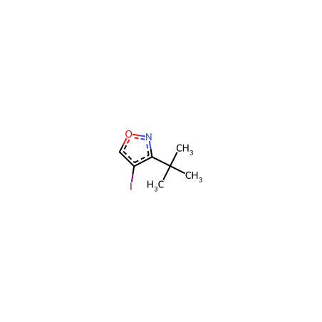 CC(C)(C)c1nocc1I